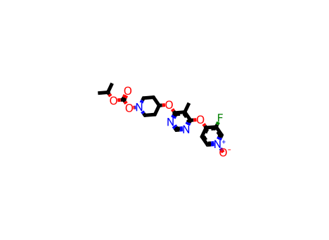 Cc1c(Oc2cc[n+]([O-])cc2F)ncnc1OC1CCN(OC(=O)OC(C)C)CC1